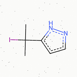 CC(C)(I)c1ccn[nH]1